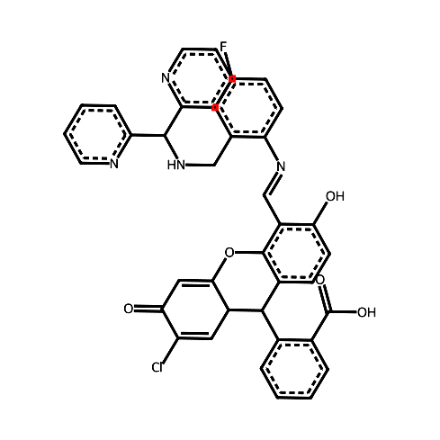 O=C1C=C2Oc3c(ccc(O)c3C=Nc3ccc(F)cc3CNC(c3ccccn3)c3ccccn3)C(c3ccccc3C(=O)O)C2C=C1Cl